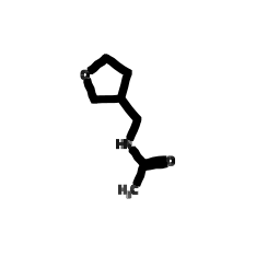 CC(=O)NCC1CCOC1